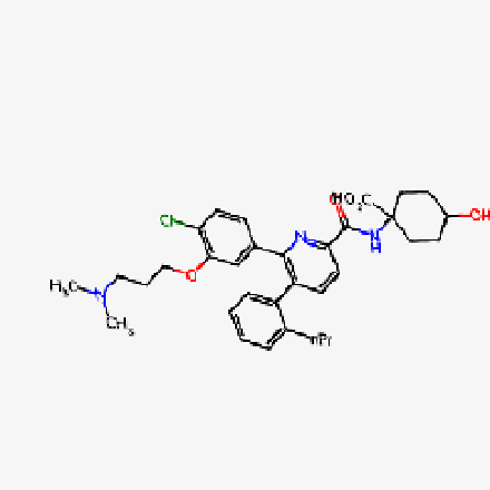 CCCc1ccccc1-c1ccc(C(=O)NC2(C(=O)O)CCC(O)CC2)nc1-c1ccc(Cl)c(OCCCN(C)C)c1